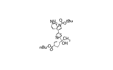 CCCCOC(=O)[C@H]1CC[C@H]([C@@](C)(O)c2ncc(-c3cn(C(=O)OC(C)(C)C)c4cc(N)ccc34)s2)CC1